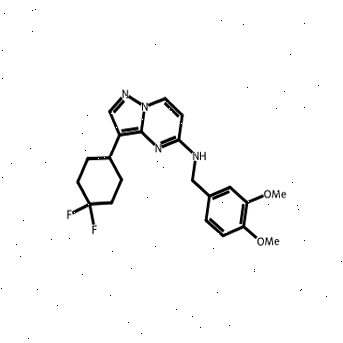 COc1ccc(CNc2ccn3ncc(C4CCC(F)(F)CC4)c3n2)cc1OC